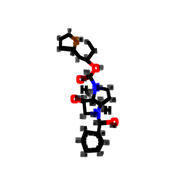 CCC(CC1=CCCS1)OC(=O)N1CC[C@@H]2[C@H]1C(=O)CN2C(=O)c1ccccc1